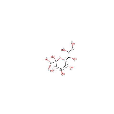 O=C(O)C1(O)O[C@@H](C(O)C(O)CO)[C@H](O)[C@@H](O)[C@@H]1O